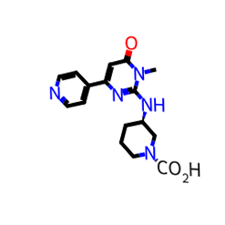 Cn1c(N[C@@H]2CCCN(C(=O)O)C2)nc(-c2ccncc2)cc1=O